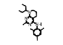 CCC(CC)N1CCCc2c(Nc3c(C)cc(C)cc3C)nc(C)nc21